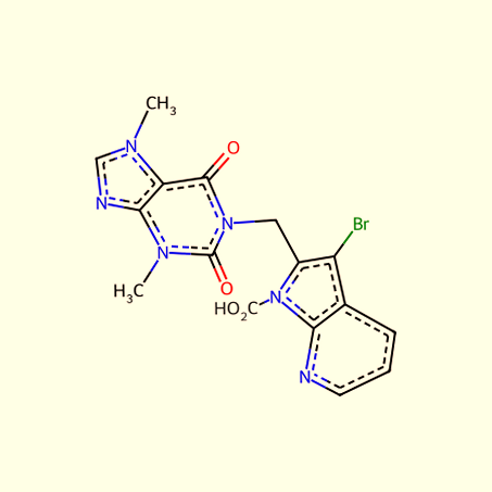 Cn1cnc2c1c(=O)n(Cc1c(Br)c3cccnc3n1C(=O)O)c(=O)n2C